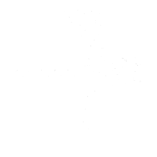 CCCCCCCCCCCCC1(CCCCCCCCCCCC)Oc2cc(-c3cc4c(s3)-c3sc(C)cc3OC4(C)C)sc2-c2sc(-c3c(F)c(F)c(C)c4nsnc34)cc21